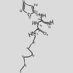 CCCCCCNC(=O)NC(=N)Nc1ccco1